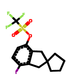 O=S(=O)(Oc1ccc(I)c2c1CC1(CCCC1)C2)C(F)(F)F